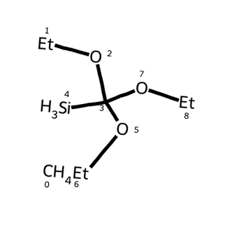 C.CCOC([SiH3])(OCC)OCC